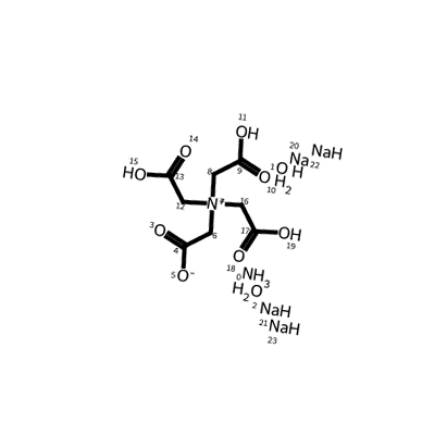 N.O.O.O=C([O-])C[N+](CC(=O)O)(CC(=O)O)CC(=O)O.[NaH].[NaH].[NaH].[NaH]